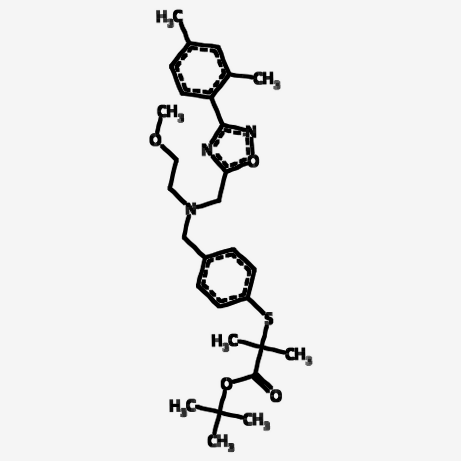 COCCN(Cc1ccc(SC(C)(C)C(=O)OC(C)(C)C)cc1)Cc1nc(-c2ccc(C)cc2C)no1